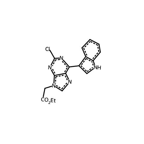 CCOC(=O)Cn1cnc2c(-c3c[nH]c4ccccc34)nc(Cl)nc21